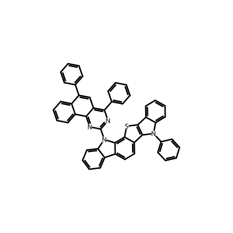 c1ccc(-c2cc3c(-c4ccccc4)nc(-n4c5ccccc5c5ccc6c(sc7c8ccccc8n(-c8ccccc8)c67)c54)nc3c3ccccc23)cc1